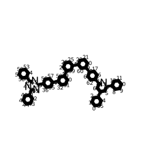 c1ccc(-c2cc(-c3ccccc3)nc(-c3ccc(-c4cccc(-c5cccc(-c6cccc(-c7ccc(-c8nc(-c9ccccc9)nc(-c9ccccc9)n8)cc7)c6)c5)c4)cc3)c2)cc1